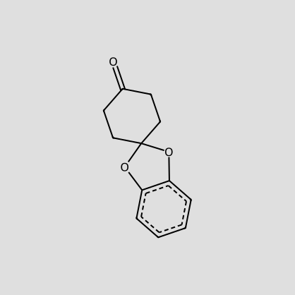 O=C1CCC2(CC1)Oc1ccccc1O2